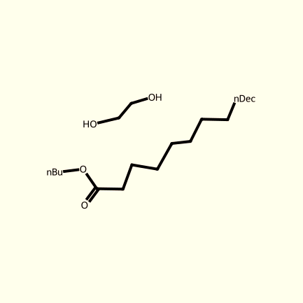 CCCCCCCCCCCCCCCCCC(=O)OCCCC.OCCO